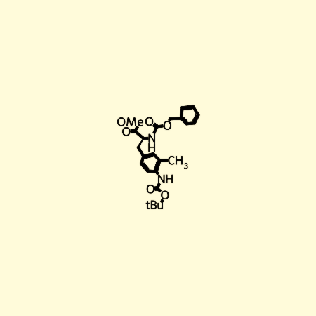 COC(=O)[C@H](Cc1ccc(NC(=O)OC(C)(C)C)c(C)c1)NC(=O)OCc1ccccc1